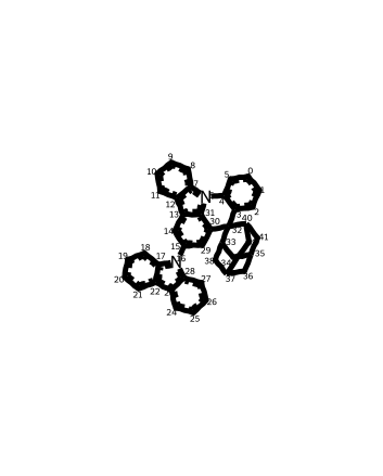 c1ccc2c(c1)-n1c3ccccc3c3cc(-n4c5ccccc5c5ccccc54)cc(c31)C21C2CC3CC(C2)CC1C3